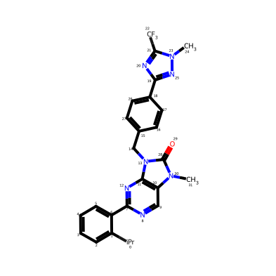 CC(C)c1ccccc1-c1ncc2c(n1)n(Cc1ccc(-c3nc(C(F)(F)F)n(C)n3)cc1)c(=O)n2C